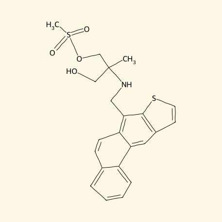 CC(CO)(COS(C)(=O)=O)NCc1c2ccc3ccccc3c2cc2ccsc12